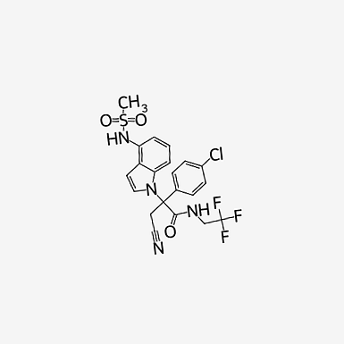 CS(=O)(=O)Nc1cccc2c1ccn2C(CC#N)(C(=O)NCC(F)(F)F)c1ccc(Cl)cc1